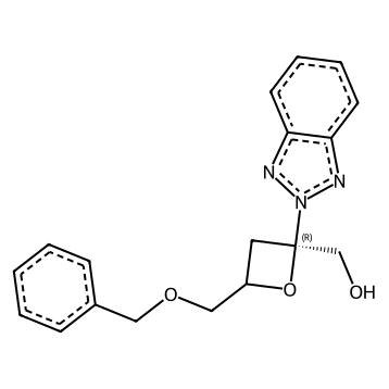 OC[C@@]1(n2nc3ccccc3n2)CC(COCc2ccccc2)O1